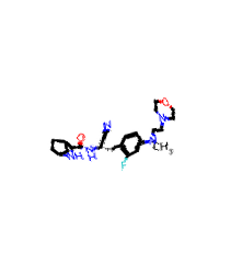 CN(CCN1CCOCC1)c1ccc(C[C@@H](C#N)NC(=O)C2NC3CCC2C3)c(F)c1